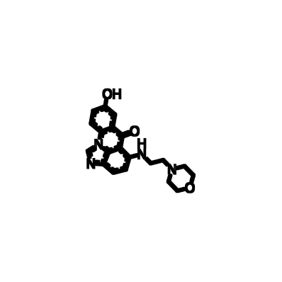 O=c1c2cc(O)ccc2n2cnc3ccc(NCCN4CCOCC4)c1c32